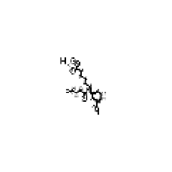 COC(=O)CCCCCN(C(=O)CCCF)c1cccc(C#N)c1